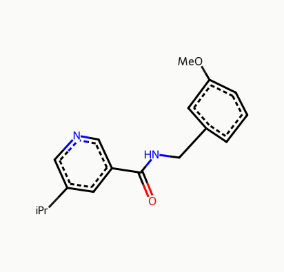 COc1cccc(CNC(=O)c2cncc(C(C)C)c2)c1